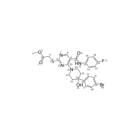 COC(=O)CSc1ncc(C(=O)Nc2ccc(F)cc2)c(N2CCC(O)(c3ccc(Br)cc3)CC2)n1